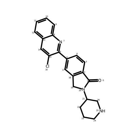 O=C1c2ccc(-c3nc4ccccc4cc3Cl)cc2CN1C1CCCNC1